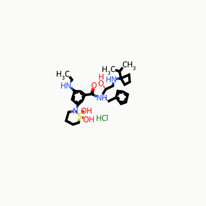 CCNc1cc(C(=O)N[C@@H](Cc2ccccc2)[C@H](O)CNC2(C(C)C)CCC2)cc(N2CCCCS2(O)O)c1.Cl